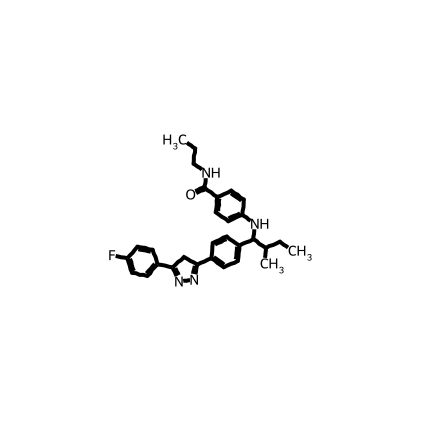 CCCNC(=O)c1ccc(NC(c2ccc(C3=NN=C(c4ccc(F)cc4)C3)cc2)C(C)CC)cc1